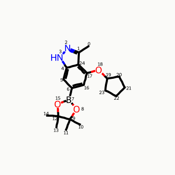 Cc1n[nH]c2cc(B3OC(C)(C)C(C)(C)O3)cc(OC3CCCC3)c12